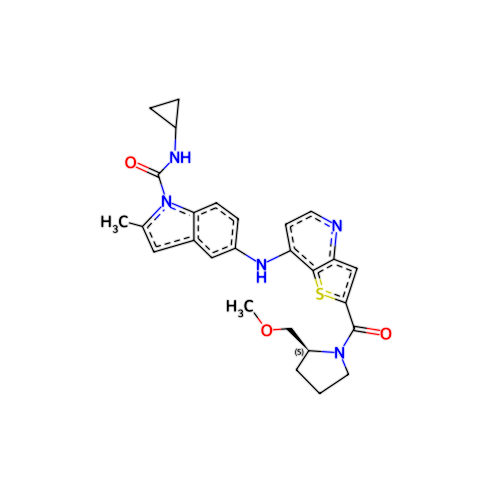 COC[C@@H]1CCCN1C(=O)c1cc2nccc(Nc3ccc4c(c3)cc(C)n4C(=O)NC3CC3)c2s1